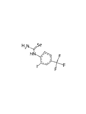 NC(=[Se])Nc1ccc(C(F)(F)F)cc1I